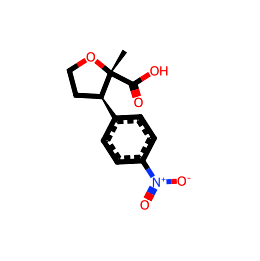 C[C@]1(C(=O)O)OCC[C@@H]1c1ccc([N+](=O)[O-])cc1